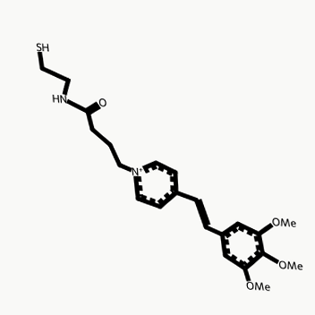 COc1cc(/C=C/c2cc[n+](CCCC(=O)NCCS)cc2)cc(OC)c1OC